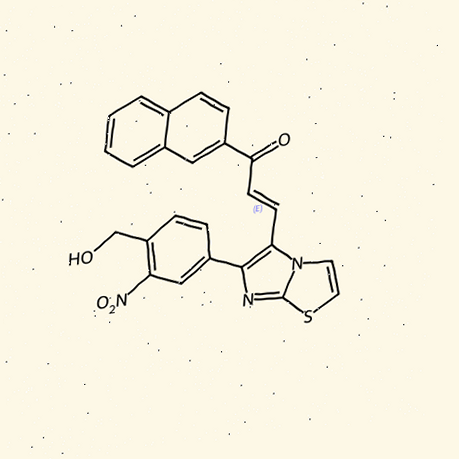 O=C(/C=C/c1c(-c2ccc(CO)c([N+](=O)[O-])c2)nc2sccn12)c1ccc2ccccc2c1